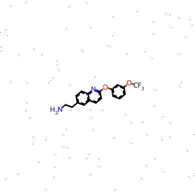 NCCc1ccc2nc(Oc3cccc(OC(F)(F)F)c3)ccc2c1